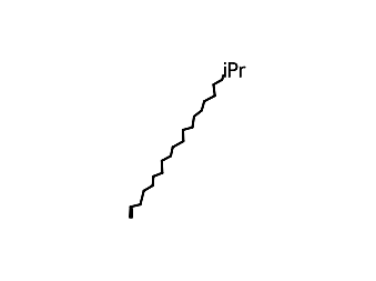 C=CCCCCCCCCCCCCCCCCCC(C)C